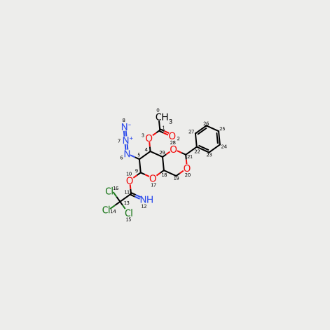 CC(=O)OC1C(N=[N+]=[N-])C(OC(=N)C(Cl)(Cl)Cl)OC2COC(c3ccccc3)OC21